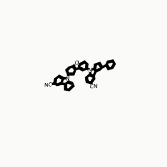 N#Cc1ccc2c(c1)c1ccccc1n2-c1ccc2oc3ccc(-n4c5ccc(C#N)cc5c5cc(-c6ccccc6)ccc54)cc3c2c1